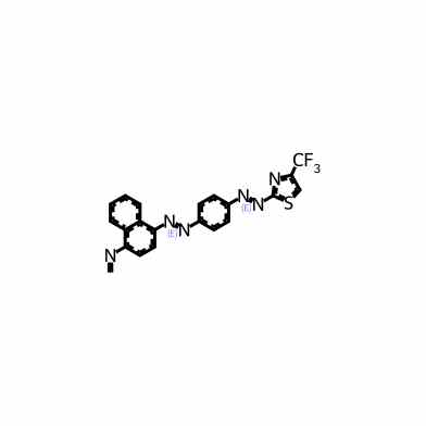 C=Nc1ccc(/N=N/c2ccc(/N=N/c3nc(C(F)(F)F)cs3)cc2)c2ccccc12